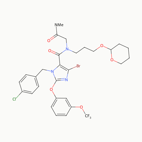 CNC(=O)CN(CCCOC1CCCCO1)C(=O)c1c(Br)nc(Oc2cccc(OC(F)(F)F)c2)n1Cc1ccc(Cl)cc1